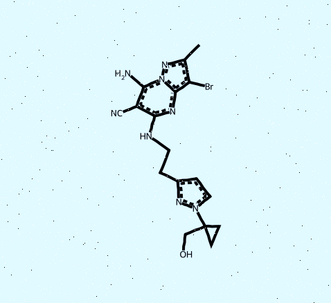 Cc1nn2c(N)c(C#N)c(NCCc3ccn(C4(CO)CC4)n3)nc2c1Br